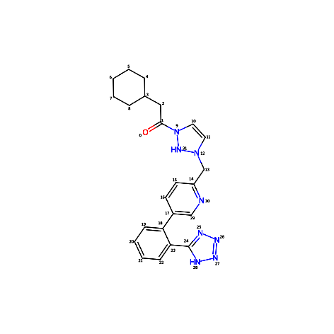 O=C(CC1CCCCC1)N1C=CN(Cc2ccc(-c3ccccc3-c3nnn[nH]3)cn2)N1